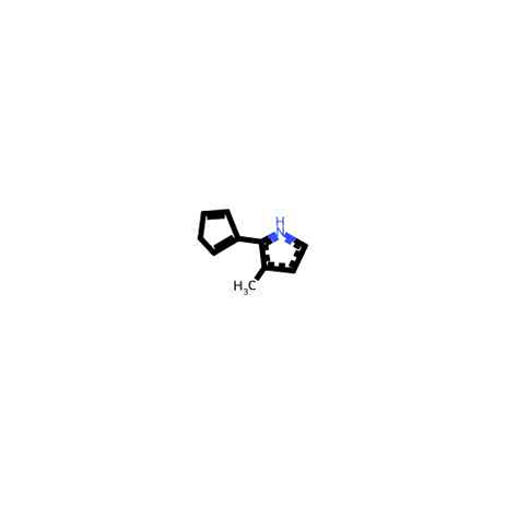 Cc1cc[nH]c1C1=[C]CC=C1